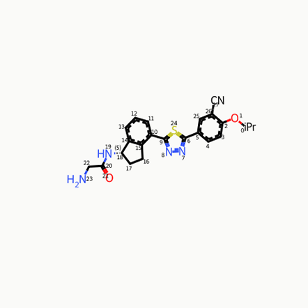 CC(C)Oc1ccc(-c2nnc(-c3cccc4c3CC[C@@H]4NC(=O)CN)s2)cc1C#N